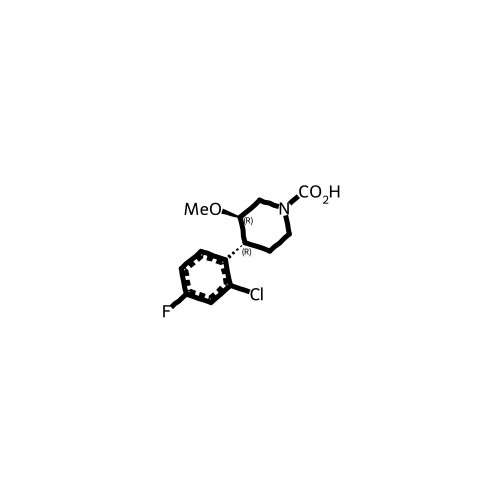 CO[C@H]1CN(C(=O)O)CC[C@@H]1c1ccc(F)cc1Cl